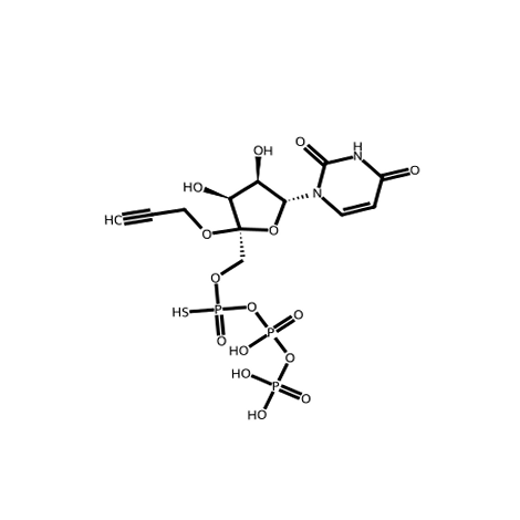 C#CCO[C@]1(COP(=O)(S)OP(=O)(O)OP(=O)(O)O)O[C@@H](n2ccc(=O)[nH]c2=O)[C@H](O)[C@@H]1O